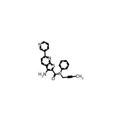 CC#CCN(C(=O)c1sc2nc(-c3cccnc3)ccc2c1N)c1ccccc1